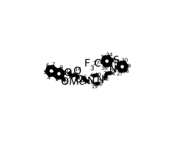 COc1cc2ccccc2cc1OCC(=O)OCCN1CCN(CCCN2c3ccccc3Sc3ccc(C(F)(F)F)cc32)CC1